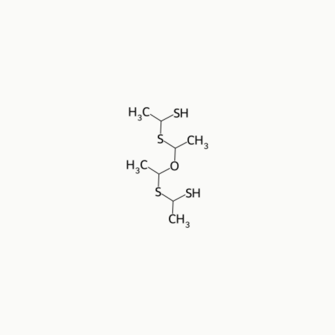 CC(S)SC(C)OC(C)SC(C)S